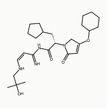 CC(C)(O)CN/C=C\C(=N)NC(=O)[C@H](CC1CCCC1)N1CC(OC2CCCCC2)=CC1=O